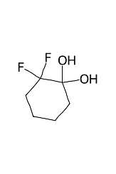 OC1(O)CCCCC1(F)F